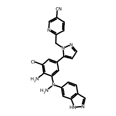 N#Cc1ccc(Cn2nccc2-c2cc(Cl)c(N)c(N(N)c3ccc4cn[nH]c4c3)c2)nc1